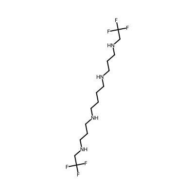 FC(F)(F)CNCCCNCCCCNCCCNCC(F)(F)F